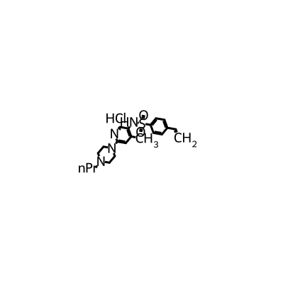 C=Cc1ccc(S(=O)(=O)Nc2cnc(N3CCN(CCC)CC3)cc2C)cc1.Cl